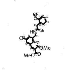 COC(=O)c1cc2cc(Cl)cc(CNC(=O)Cc3ccccc3OC(F)(F)F)c2nc1OC